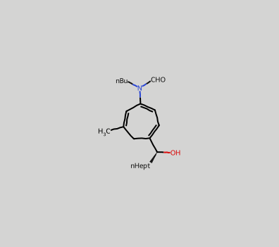 CCCCCCC[C@H](O)C1=CC=C(N(C=O)CCCC)C=C(C)C1